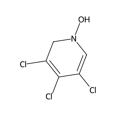 ON1C=C(Cl)C(Cl)=C(Cl)C1